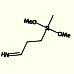 CO[Si](C)(CCC=N)OC